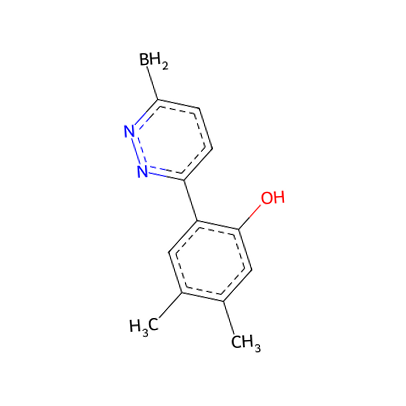 Bc1ccc(-c2cc(C)c(C)cc2O)nn1